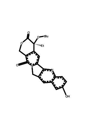 CC[C@@]1(OC(C)(C)C)C(=O)OCc2c1cc1n(c2=O)Cc2cc3cc(O)ccc3nc2-1